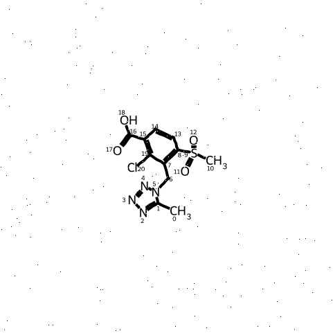 Cc1nnnn1Cc1c(S(C)(=O)=O)ccc(C(=O)O)c1Cl